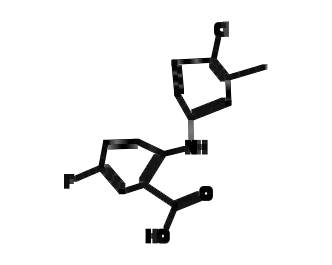 Cc1cc(Nc2ccc(F)cc2C(=O)O)ccc1Cl